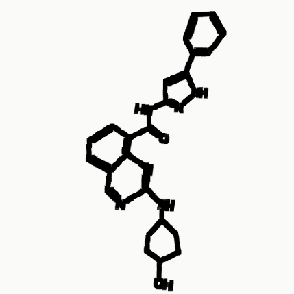 O=C(Nc1cc(-c2ccccc2)[nH]n1)c1cccc2cnc(NC3CCC(O)CC3)nc12